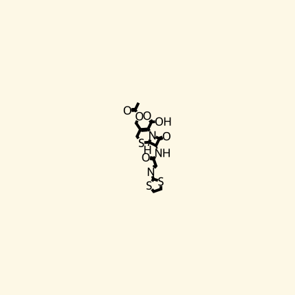 CC(=O)OCC1=C(C(=O)O)N2C(=O)[C@@H](NC(=O)C=NC3SCCS3)[C@H]2SC1